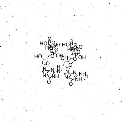 Nc1nc2c(ncn2[C@H]2C[C@H](O)[C@@H](COP(=O)(O)OP(=O)(O)OP(=O)(O)O)O2)c(=O)[nH]1.Nc1nc2c(ncn2[C@H]2C[C@H](O)[C@@H](COP(=O)(O)OP(=O)(O)OP(=O)(O)O)O2)c(=O)[nH]1